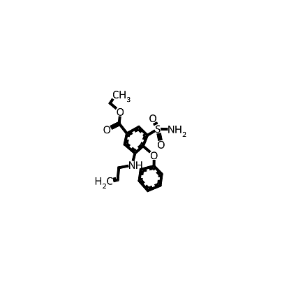 C=CCNc1cc(C(=O)OCC)cc(S(N)(=O)=O)c1Oc1ccccc1